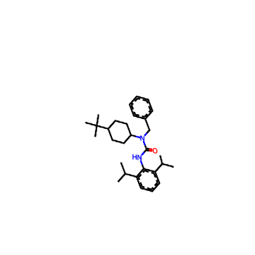 CC(C)c1cccc(C(C)C)c1NC(=O)N(Cc1ccccc1)C1CCC(C(C)(C)C)CC1